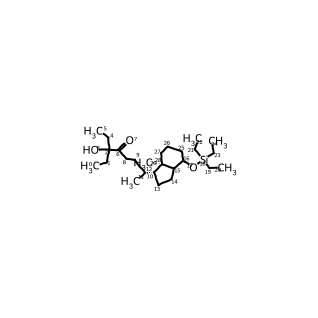 CCC(O)(CC)C(=O)CCC(C)[C@H]1CCC2C(O[Si](CC)(CC)CC)CCC[C@@]21C